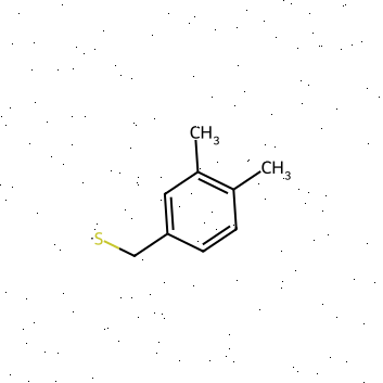 Cc1ccc(C[S])cc1C